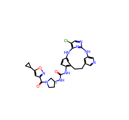 O=C(Nc1ccc2cc1CCc1cncc(c1)Nc1ncc(Cl)c(n1)N2)N[C@H]1CCN(C(=O)c2cc(C3CC3)on2)C1